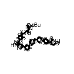 Cc1cc(-c2n[nH]c3ncc(-c4cccc(N5CCN(CC6CCN(c7ccc(N8CCC(=O)NC8=O)cc7)CC6)CC5)c4)cc23)ccc1[C@@H](C)CCC(=O)c1noc(C(C)(C)C)n1